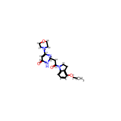 CCOc1cccc2c1CCN2C(=O)Cc1nc(N2CCOCC2)cc(=O)[nH]1